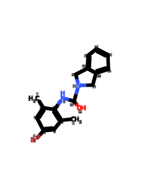 Cc1cc(Br)cc(C)c1NC(O)N1Cc2ccccc2C1